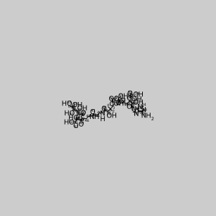 CC(C)(COP(=O)(O)OP(=O)(O)OC[C@H]1O[C@@H](n2cnc3c(N)ncnc32)[C@H](O)[C@@H]1OP(=O)(O)O)C(O)C(=O)NCCC(=O)NCC[SH](C(=O)CC(=O)O)C(=O)[C@H](O)[C@@H](O)[C@H](O)[C@H](O)CO